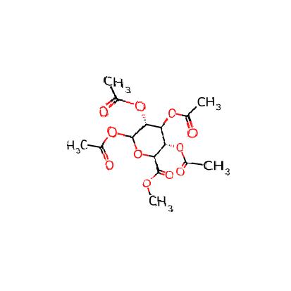 COC(=O)[C@H]1OC(OC(C)=O)[C@H](OC(C)=O)[C@@H](OC(C)=O)[C@@H]1OC(C)=O